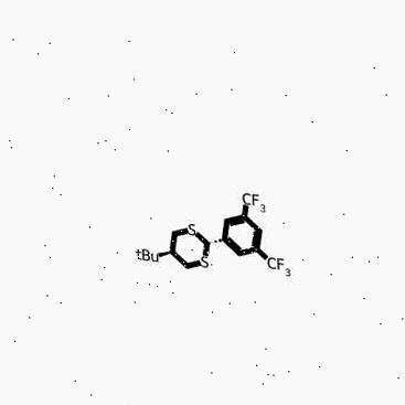 CC(C)(C)[C@H]1CS[C@H](c2cc(C(F)(F)F)cc(C(F)(F)F)c2)SC1